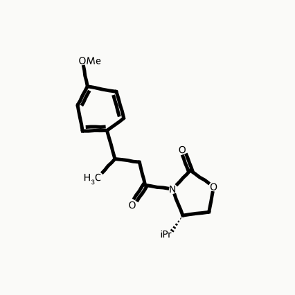 COc1ccc(C(C)CC(=O)N2C(=O)OC[C@@H]2C(C)C)cc1